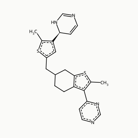 Cc1sc(CC2CCc3c(sc(C)c3-c3ccncn3)C2)cc1[C@@H]1C=CN=CN1